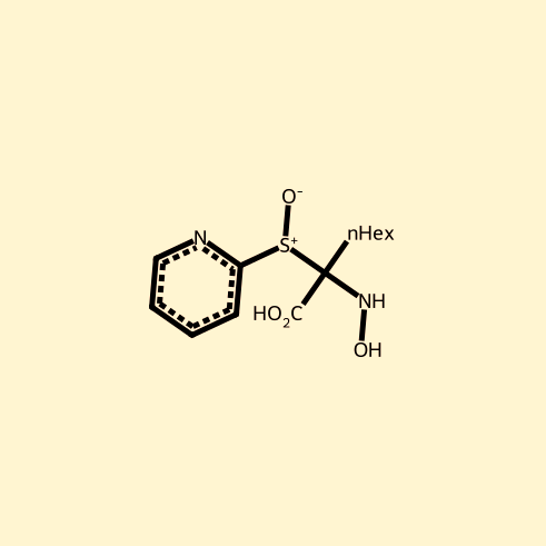 CCCCCCC(NO)(C(=O)O)[S+]([O-])c1ccccn1